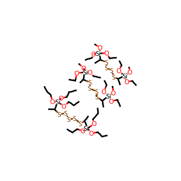 CCCO[Si](OCCC)(OCCC)C(C)SSSSSC(C)[Si](OCCC)(OCCC)OCCC.CCO[Si](OC)(OCC)C(C)SSSSC(C)[Si](OC)(OCC)OCC.CCO[Si](OC)(OCC)C(C)SSSSC(C)[Si](OC)(OCC)OCC